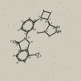 CN1CNNC1[C@@H]1CC[C@@H]1c1cccc(N2Cc3c(cccc3C(F)(F)F)C2=O)c1